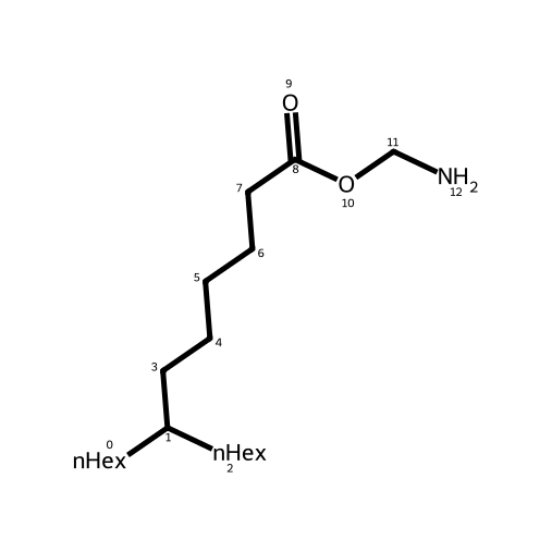 CCCCCCC(CCCCCC)CCCCCC(=O)OCN